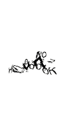 O=[N+]([O-])[C@@H]1CC(CO)O[C@H](O[C@H]2COC[C@@H](O)C2)C1